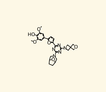 COc1cc(-c2ccc(-c3nc(N4CC5CCC(C4)O5)nc(N4CC5(COC5)C4)n3)o2)cc(OC)c1O